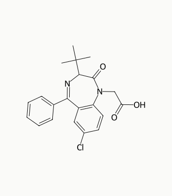 CC(C)(C)C1N=C(c2ccccc2)c2cc(Cl)ccc2N(CC(=O)O)C1=O